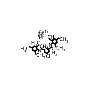 CCc1cc(CC)c(N=C(C)c2cc(Cl)cc(C(C)=Nc3c(CC)cc(CC)cc3CC)n2)c(CC)c1.[Cl-].[Cl-].[Cl-].[Fe+3]